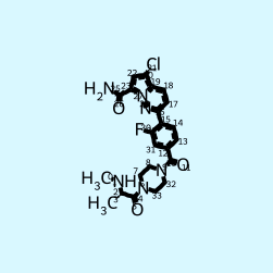 CN[C@@H](C)C(=O)N1CCN(C(=O)c2ccc(-c3ccc4c(Cl)cc(C(N)=O)n4n3)c(F)c2)CC1